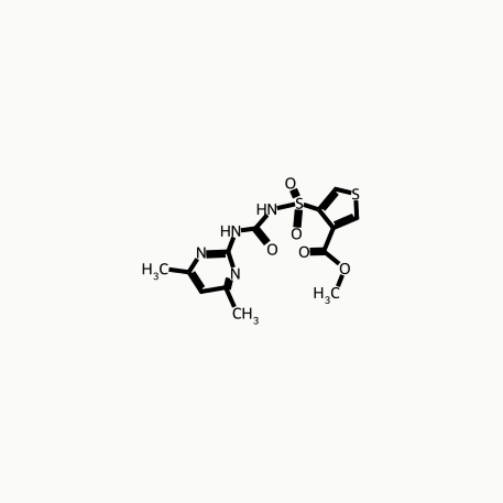 COC(=O)c1cscc1S(=O)(=O)NC(=O)Nc1nc(C)cc(C)n1